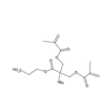 C=C(C)C(=O)OCC(CCCC)(COC(=O)C(=C)C)C(=O)OCCS(=O)(=O)O